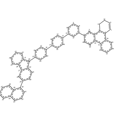 C1=Cc2c(c3nc(-c4cccc(-c5ccc(-c6ccc(-n7c8ccccc8c8cc(-c9cccc%10ccccc9%10)ccc87)cc6)cc5)c4)cnc3c3ccccc23)CC1